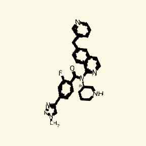 Cn1cc(-c2ccc(C(=O)N(c3nccc4cc(Cc5cccnc5)ccc34)[C@@H]3CCCNC3)c(F)c2)nn1